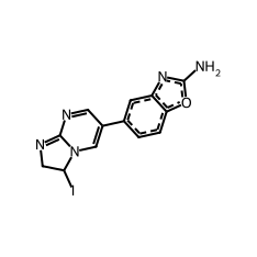 Nc1nc2cc(C3=CN4C(=NCC4I)N=C3)ccc2o1